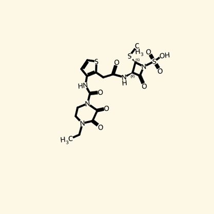 CCN1CCN(C(=O)Nc2ccsc2CC(=O)N[C@@H]2C(=O)N(S(=O)(=O)O)[C@H]2SC)C(=O)C1=O